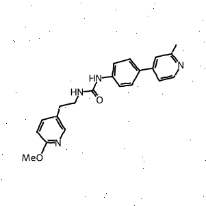 COc1ccc(CCNC(=O)Nc2ccc(-c3ccnc(C)c3)cc2)cn1